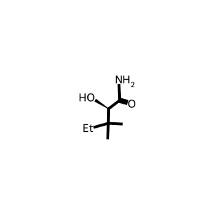 CCC(C)(C)[C@@H](O)C(N)=O